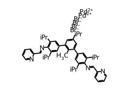 Cc1c(-c2cc(C(C)C)c(N=Cc3ccccn3)c(C(C)C)c2)cc(C(C)C)cc1-c1cc(C(C)C)c(N=Cc2ccccn2)c(C(C)C)c1.[Br-].[Br-].[Br-].[Br-].[Pd+2].[Pd+2]